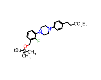 CCOC(=O)CCc1ccc(N2CCN(c3cccc(CO[Si](C)(C)C(C)(C)C)c3F)CC2)cc1